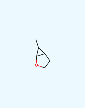 CC1C2CCOC12